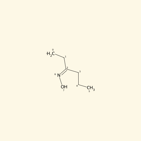 [CH2]CC(CCC)=NO